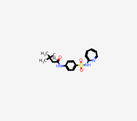 CC(C)(C)CC(=O)Nc1ccc(S(=O)(=O)NC2=C=CC=CC=N2)cc1